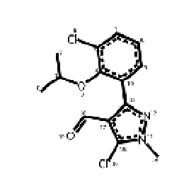 CC(C)Oc1c(Cl)cccc1-c1nn(C)c(Cl)c1C=O